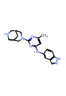 Cc1cc(Nc2ccc3[nH]ncc3c2)nc(N2CC3CNCC(C3)C2)n1